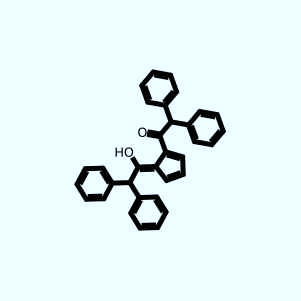 O=C(C1=CC=C/C1=C(/O)C(c1ccccc1)c1ccccc1)C(c1ccccc1)c1ccccc1